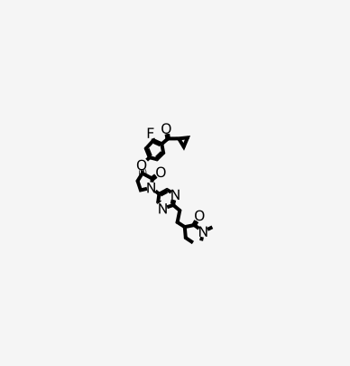 CCC(CCc1ncc(N2CC[C@@H](Oc3ccc(C(=O)C4CC4)c(F)c3)C2=O)cn1)C(=O)N(C)C